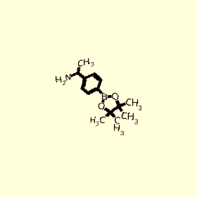 CC(N)c1ccc(B2OC(C)(C)C(C)(C)O2)cc1